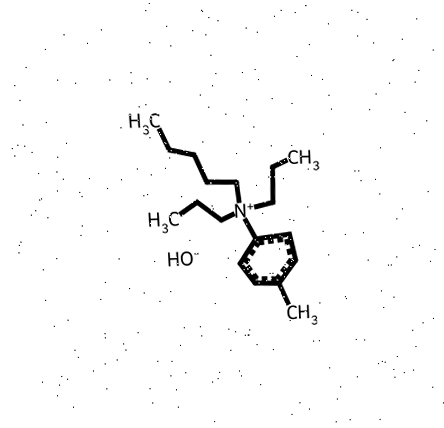 CCCCC[N+](CCC)(CCC)c1ccc(C)cc1.[OH-]